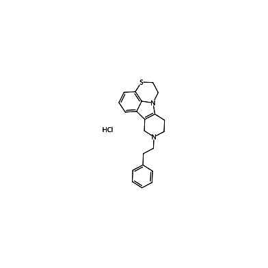 Cl.c1ccc(CCN2CCc3c(c4cccc5c4n3CCS5)C2)cc1